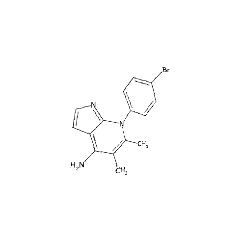 Cc1c(N)c2ccnc-2n(-c2ccc(Br)cc2)c1C